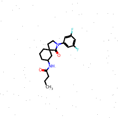 CCCC(=O)NC1CCCC2(CCN(c3cc(F)cc(F)c3)C2=O)C1